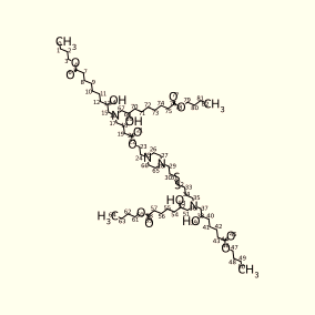 CCCCOC(=O)CCCCCCC(O)CN(CCCC(=O)OCCN1CCN(CCSSCCCN(CC(O)CCCCC(=O)OCCCC)CC(O)CCCCC(=O)OCCCC)CC1)CC(O)CCCCCCC(=O)OCCCC